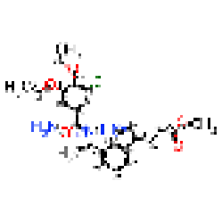 C=C(/N=C(\ON)c1cc(Cl)c(OCC)c(OCC)c1)c1cccc2c(CCC(=O)OC)c[nH]c12